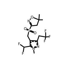 Cn1nc(CC(F)(F)F)c(CS(=O)(=O)C2=NOC(C)(C)C2)c1C(F)F